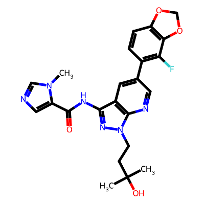 Cn1cncc1C(=O)Nc1nn(CCC(C)(C)O)c2ncc(-c3ccc4c(c3F)OCO4)cc12